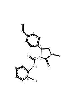 C=Cc1ccc([C@H]2CN(C)C(=O)[C@@H]2C(=O)Nc2ccccc2F)cc1